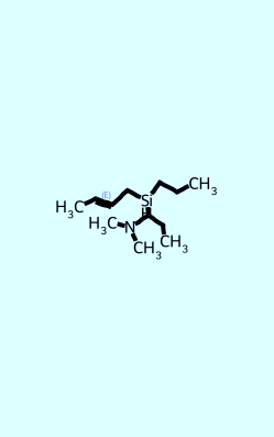 C/C=C/C[SiH](CCC)C(CC)N(C)C